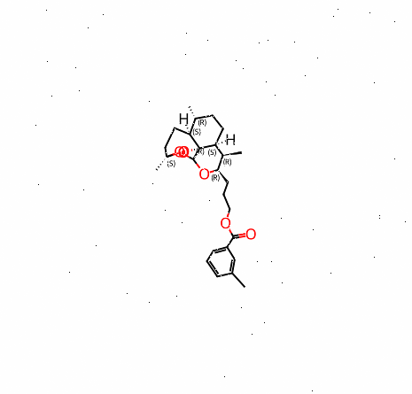 Cc1cccc(C(=O)OCCC[C@H]2OC3O[C@]4(C)CC[C@H]5[C@H](C)CC[C@@H]([C@H]2C)[C@@]35OO4)c1